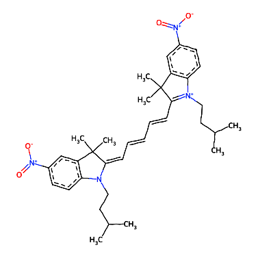 CC(C)CCN1/C(=C/C=C/C=C/C2=[N+](CCC(C)C)c3ccc([N+](=O)[O-])cc3C2(C)C)C(C)(C)c2cc([N+](=O)[O-])ccc21